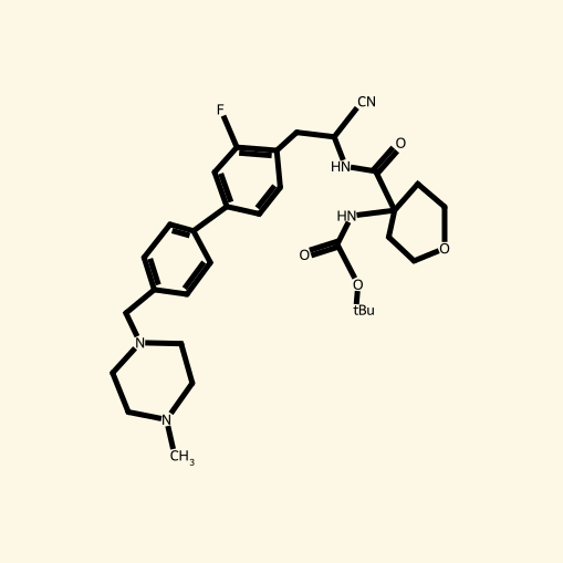 CN1CCN(Cc2ccc(-c3ccc(CC(C#N)NC(=O)C4(NC(=O)OC(C)(C)C)CCOCC4)c(F)c3)cc2)CC1